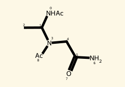 CC(=O)NC(C)N(CC(N)=O)C(C)=O